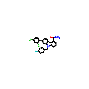 NC(=O)c1cccc2c1c1[c]cc(-c3ccc(Cl)cc3Cl)cc1n2Cc1ccc(F)cc1